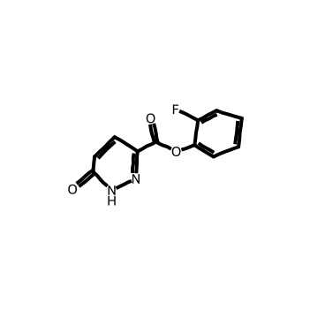 O=C(Oc1ccccc1F)c1ccc(=O)[nH]n1